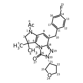 CC(=O)N1CC(C)(C)c2c1cc(Cc1ccc(F)cc1)c1nn([C@@H]3CCOC3)c(=O)n21